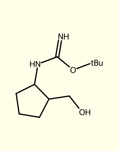 CC(C)(C)OC(=N)NC1CCCC1CO